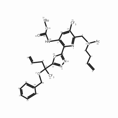 C=CCCN(Cc1nc(-c2nnc(C(CC=C)(OCc3ccccc3)C(F)(F)F)o2)c(NC(=O)OC(C)(C)C)cc1C(F)(F)F)C(C)=O